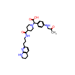 CC(=O)CNc1ccc(C(C(=O)O)N2CCC(C(=O)NCCCc3ccc4c(n3)NCCC4)CC2)cc1